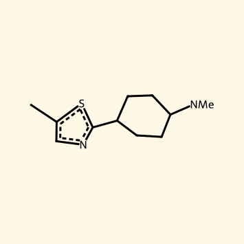 CNC1CCC(c2ncc(C)s2)CC1